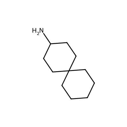 NC1CCC2(CCCCC2)CC1